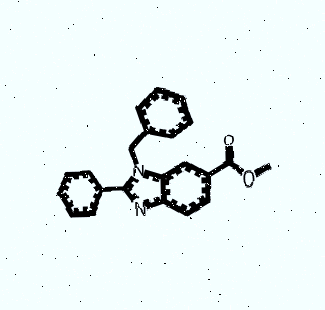 COC(=O)c1ccc2nc(-c3ccccc3)n(Cc3ccccc3)c2c1